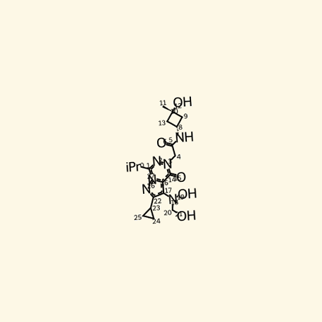 CC(C)c1nn(CC(=O)N[C@H]2C[C@@](C)(O)C2)c(=O)c2c(N(O)CO)c(C3CC3)nn12